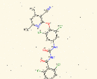 Cc1cc(C)c(C#N)c(Oc2c(Cl)cc(NC(=O)NC(=O)c3c(F)cccc3Cl)cc2Cl)n1